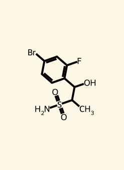 CC(C(O)c1ccc(Br)cc1F)S(N)(=O)=O